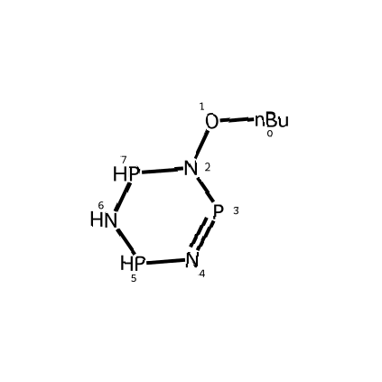 CCCCOn1pn[pH][nH][pH]1